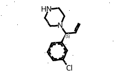 C=C[C@@H](c1cccc(Cl)c1)N1CCNCC1